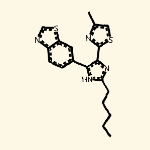 CCCCCc1nc(-c2nc(C)cs2)c(-c2ccc3ncsc3c2)[nH]1